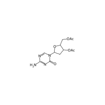 CC(=O)OCC1OC(n2cnc(N)nc2=O)CC1OC(C)=O